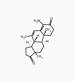 CC1=CC2=C(N)C(=O)CC[C@]2(C)[C@H]2CC[C@]3(C)C(=O)CC[C@H]3[C@H]12